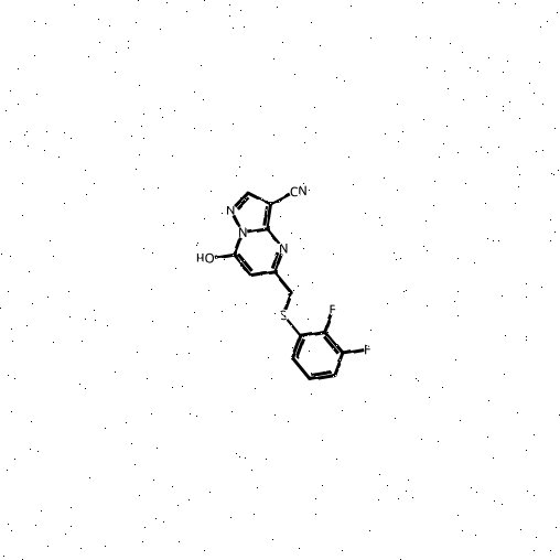 N#Cc1cnn2c(O)cc(CSc3cccc(F)c3F)nc12